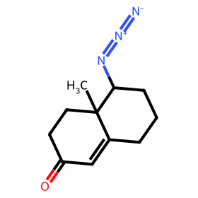 CC12CCC(=O)C=C1CCCC2N=[N+]=[N-]